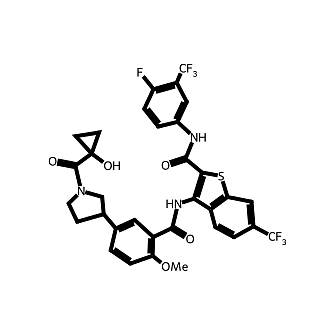 COc1ccc(C2CCN(C(=O)C3(O)CC3)C2)cc1C(=O)Nc1c(C(=O)Nc2ccc(F)c(C(F)(F)F)c2)sc2cc(C(F)(F)F)ccc12